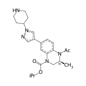 CC(=O)N1c2ccc(-c3cnn(C4CCNCC4)c3)cc2N(C(=O)OC(C)C)C[C@@H]1C